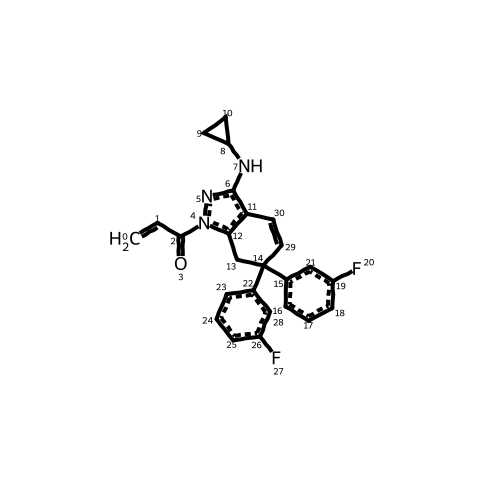 C=CC(=O)n1nc(NC2CC2)c2c1CC(c1cccc(F)c1)(c1cccc(F)c1)C=C2